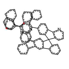 c1ccc(-c2cc(-c3ccccc3)nc(-n3c4ccccc4c4cc5c(cc43)C3(c4ccccc4-5)c4cc(-c5c6ccccc6c(-c6cccc7ccccc67)c6ccccc56)ccc4-c4ncccc43)n2)cc1